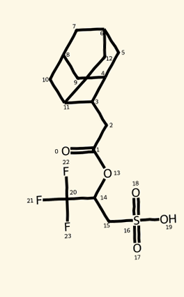 O=C(CC1C2CC3CC(C2)CC1C3)OC(CS(=O)(=O)O)C(F)(F)F